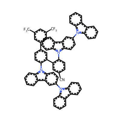 N#Cc1ccc(-n2c3ccccc3c3cc(-n4c5ccccc5c5ccccc54)ccc32)c(-c2cc(-c3cc(C(F)(F)F)cc(C(F)(F)F)c3)ccc2-n2c3ccccc3c3cc(-n4c5ccccc5c5ccccc54)ccc32)c1